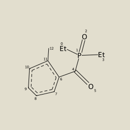 CCP(=O)(CC)C(=O)c1ccccc1C